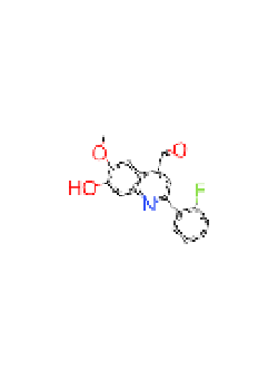 COc1cc2c(C=O)cc(-c3ccccc3F)nc2cc1O